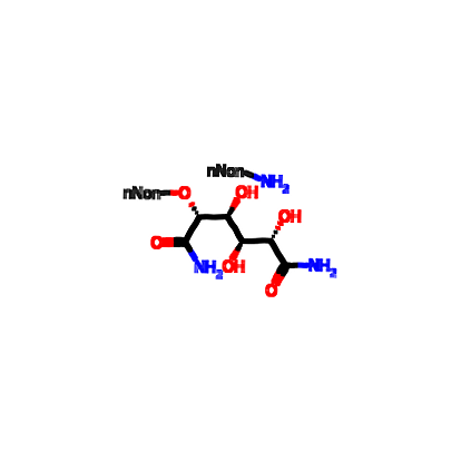 CCCCCCCCCN.CCCCCCCCCO[C@@H](C(N)=O)[C@@H](O)[C@H](O)[C@H](O)C(N)=O